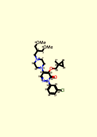 COCC(COC)CN1CCN(c2cnn(-c3cccc(Cl)c3)c(=O)c2OCC2(C)CC2)CC1